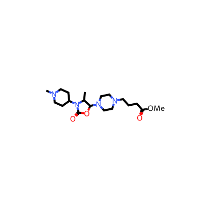 COC(=O)CCCN1CCN(C2OC(=O)N(C3CCN(C)CC3)C2C)CC1